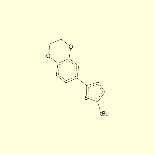 CC(C)(C)c1ccc(-c2ccc3c(c2)OCCO3)s1